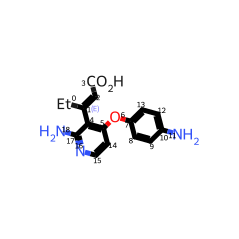 CC/C(=C\C(=O)O)c1c(Oc2ccc(N)cc2)ccnc1N